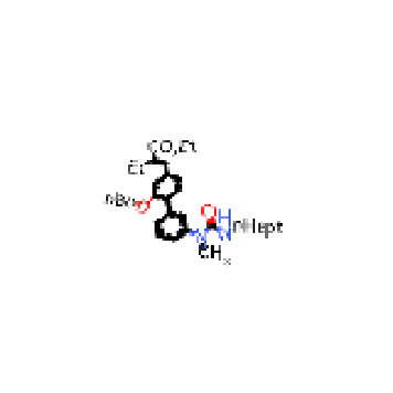 CCCCCCCNC(=O)N(C)c1cccc(-c2ccc(/C=C(\CC)C(=O)OCC)cc2OCCCC)c1